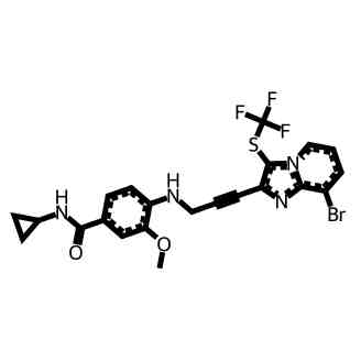 COc1cc(C(=O)NC2CC2)ccc1NCC#Cc1nc2c(Br)cccn2c1SC(F)(F)F